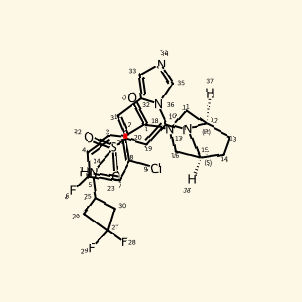 O=C(c1ccc(F)cc1Cl)N1C[C@H]2CC[C@@H](C1)N2c1cc(S(=O)(=O)NC2CC(F)(F)C2)cc2cncn12